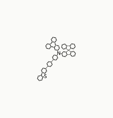 c1ccc2c(c1)-c1ccccc1C21c2ccccc2-c2ccc(N(c3ccc(-c4ccc(-c5ccc6c(c5)sc5ccccc56)cc4)cc3)c3ccc4c5ccccc5c5ccccc5c4c3)cc21